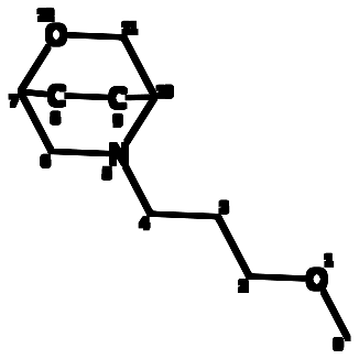 COCCCN1CC2CCC1CO2